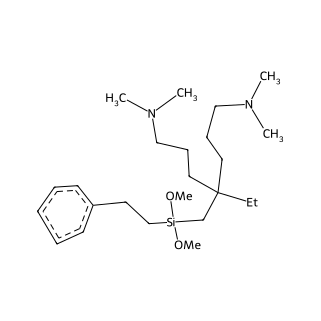 CCC(CCCN(C)C)(CCCN(C)C)C[Si](CCc1ccccc1)(OC)OC